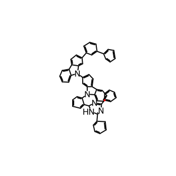 c1ccc(C2=NC(c3ccccc3-n3c4ccccc4c4ccc(-n5c6ccccc6c6ccc(-c7cccc(-c8ccccc8)c7)cc65)cc43)NC(c3ccccc3)=N2)cc1